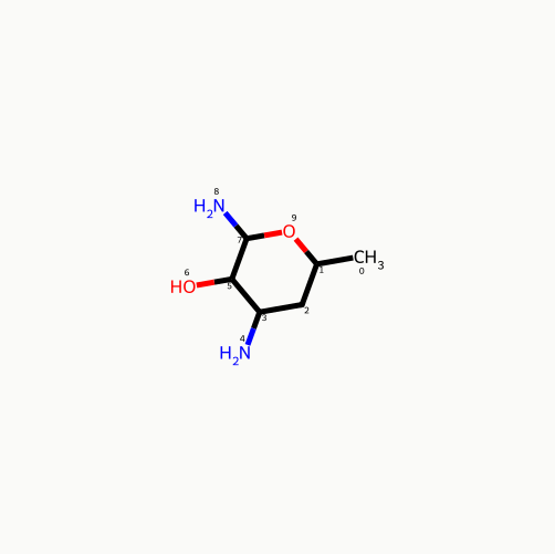 CC1CC(N)C(O)C(N)O1